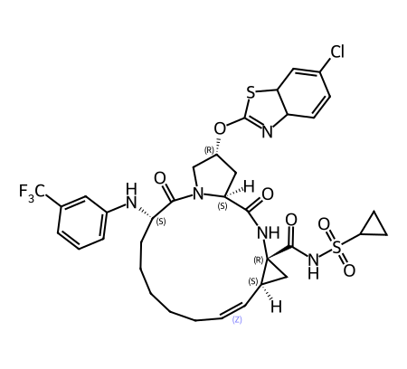 O=C1N[C@]2(C(=O)NS(=O)(=O)C3CC3)C[C@H]2/C=C\CCCCC[C@H](Nc2cccc(C(F)(F)F)c2)C(=O)N2C[C@H](OC3=NC4C=CC(Cl)=CC4S3)C[C@@H]12